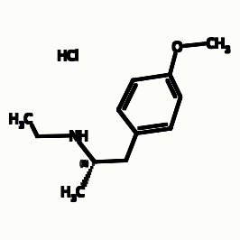 CCN[C@@H](C)Cc1ccc(OC)cc1.Cl